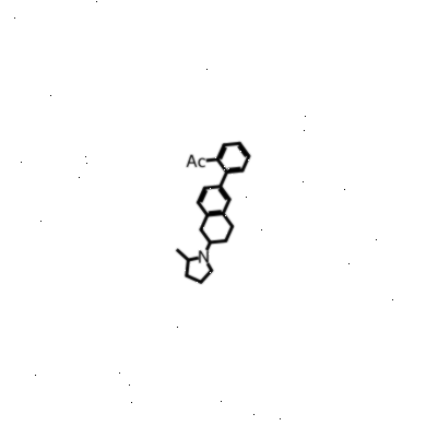 CC(=O)c1ccccc1-c1ccc2c(c1)CCC(N1CCCC1C)C2